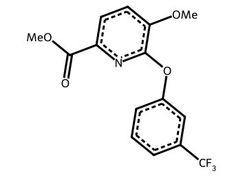 COC(=O)c1ccc(OC)c(Oc2cccc(C(F)(F)F)c2)n1